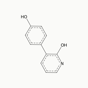 Oc1ccc(-c2cccnc2O)cc1